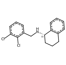 Clc1cccc(CN[C@H]2CCCc3ccccc32)c1Cl